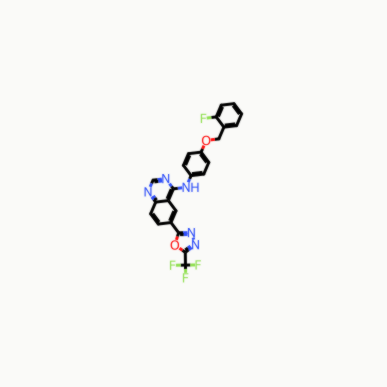 Fc1ccccc1COc1ccc(Nc2ncnc3ccc(-c4nnc(C(F)(F)F)o4)cc23)cc1